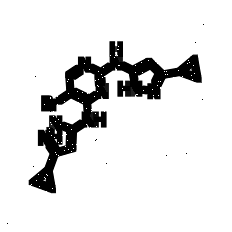 Brc1cnc(Nc2cc(C3CC3)n[nH]2)nc1Nc1cc(C2CC2)n[nH]1